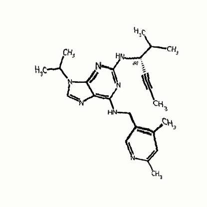 CC#C[C@H](Nc1nc(NCc2cnc(C)cc2C)c2ncn(C(C)C)c2n1)C(C)C